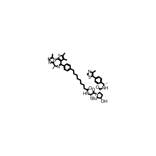 Cc1ncsc1-c1ccc([C@H](C)NC(=O)[C@@H]2C[C@@H](O)CN2C(=O)[C@@H](NC(=O)CCCCCCCCc2ccc(C3=N[C@@H](C)c4nnc(C)n4-c4sc(C)c(C)c43)cc2)C(C)(C)C)cc1